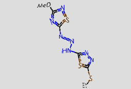 CCSc1nnc(NN=Nc2nc(OC)ns2)s1